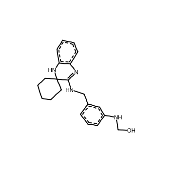 OCNc1cccc(CNC2=Nc3ccccc3NC23CCCCC3)c1